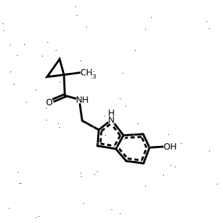 CC1(C(=O)NCc2cc3ccc(O)cc3[nH]2)CC1